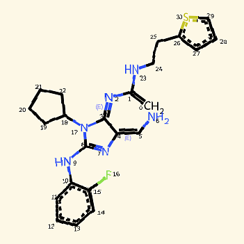 C=C(/N=C1\C(=C/N)N=C(Nc2ccccc2F)N1C1CCCC1)NCCc1cccs1